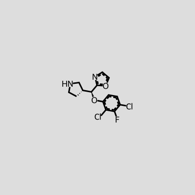 Fc1c(Cl)ccc(O[C@H](c2ncco2)[C@@H]2CCNC2)c1Cl